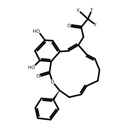 O=C1O[C@H](c2ccccc2)C/C=C/CC/C=C/C(CC(=O)C(F)(F)F)=C/c2cc(O)cc(O)c21